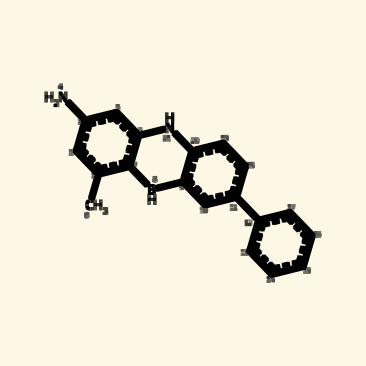 Cc1cc(N)cc2c1Bc1cc(-c3ccccc3)ccc1N2